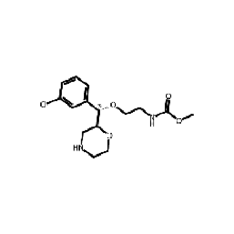 COC(=O)NCCO[C@@H](c1cccc(Cl)c1)C1CNCCO1